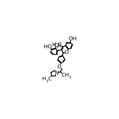 CC1=C(c2cccc(O)c2C)C(c2ccc(OCC(C)N3CCC(C)C3)cc2)Oc2ccc(O)cc21